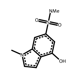 CNS(=O)(=O)c1cc(O)c2ccn(C)c2c1